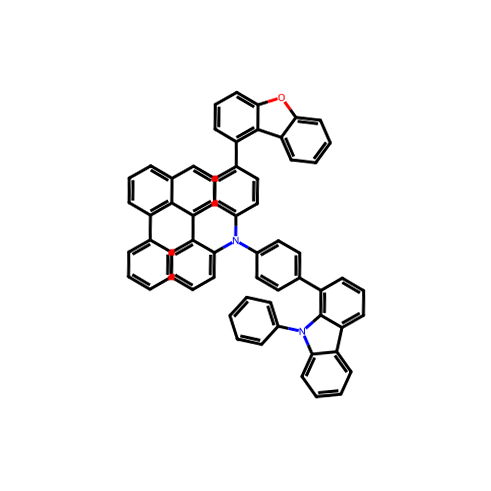 c1ccc(-c2cccc3cccc(-c4ccccc4N(c4ccc(-c5cccc6oc7ccccc7c56)cc4)c4ccc(-c5cccc6c7ccccc7n(-c7ccccc7)c56)cc4)c23)cc1